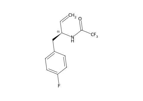 C=C[C@H](Cc1ccc(F)cc1)NC(=O)C(F)(F)F